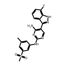 Cc1cc(Nc2ncc(-c3n[nH]c4c(F)cccc34)c(N)n2)cc(S(C)(=O)=O)c1